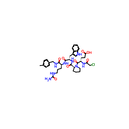 Cc1ccc(CNC(=O)[C@H](CCCNC(N)=O)NC(=O)[C@H](Cc2c[nH]c3ccccc23)NC(=O)[C@@H]2CCCCN2C(=O)[C@H](CCC(=O)O)NC(=O)CCl)cc1